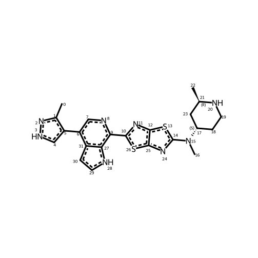 Cc1n[nH]cc1-c1cnc(-c2nc3sc(N(C)[C@H]4CCN[C@H](C)C4)nc3s2)c2[nH]ccc12